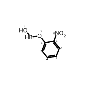 O=[N+]([O-])c1ccccc1OBO